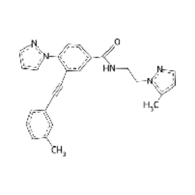 Cc1cccc(C#Cc2cc(C(=O)NCCn3nccc3C)ccc2-n2cccn2)c1